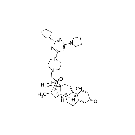 CC1C[C@H]2[C@@H]3CCC4=CC(=O)C=C[C@]4(C)C3=CC[C@]2(C)[C@@]1(C)C(=O)CN1CCN(c2cc(N3CCCC3)nc(N3CCCC3)n2)CC1